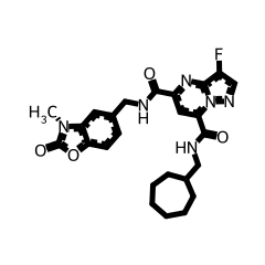 Cn1c(=O)oc2ccc(CNC(=O)c3cc(C(=O)NCC4CCCCCC4)n4ncc(F)c4n3)cc21